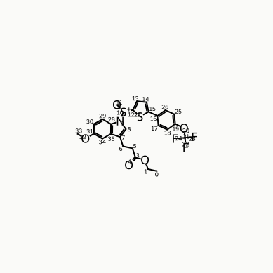 CCOC(=O)CCc1cn([S+]([O-])c2ccc(-c3ccc(OC(F)(F)F)cc3)s2)c2ccc(OC)cc12